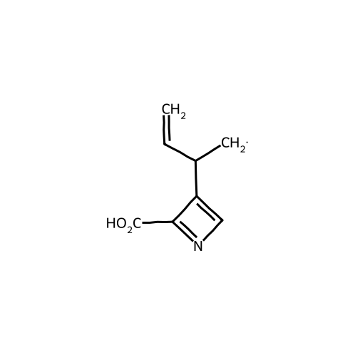 [CH2]C(C=C)C1=CN=C1C(=O)O